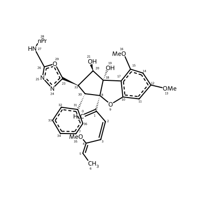 C=C(/C=C\C(=C/C)OC)[C@@]12Oc3cc(OC)cc(OC)c3[C@]1(O)[C@H](O)[C@H](c1nnc(NCCC)o1)[C@H]2c1ccccc1